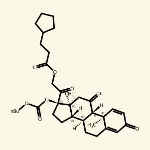 CCCCOC(=O)O[C@]1(C(=O)COC(=O)CCC2CCCC2)CC[C@H]2[C@@H]3CCC4=CC(=O)C=C[C@]4(C)[C@H]3C(=O)C[C@@]21C